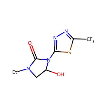 CCN1CC(O)N(c2nnc(C(F)(F)F)s2)C1=O